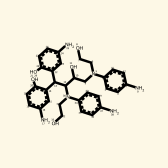 Nc1ccc(N(CCO)CC(O)C(C(c2cc(N)ccc2O)c2cc(N)ccc2O)N(CCO)c2ccc(N)cc2)cc1